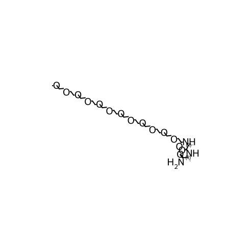 COCCOCCOCCOCCOCCOCCOCCOCCOCCOCCOCCOCC(=O)N[C@H](C)C(=O)N[C@H](C)C(N)=O